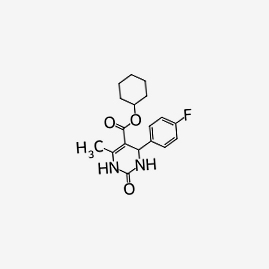 CC1=C(C(=O)OC2CCCCC2)C(c2ccc(F)cc2)NC(=O)N1